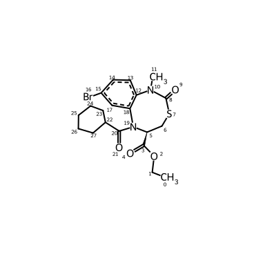 CCOC(=O)[C@@H]1CSC(=O)N(C)c2ccc(Br)cc2N1C(=O)C1CCCCC1